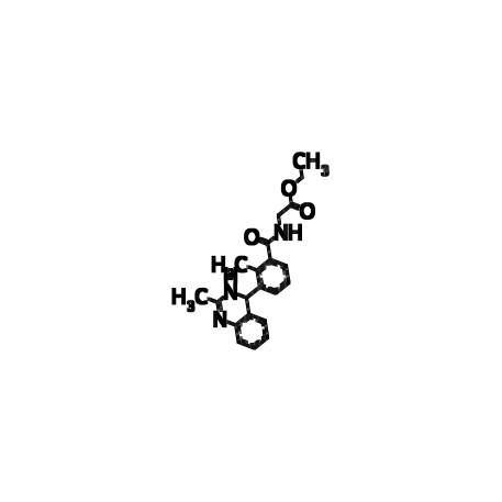 CCOC(=O)CNC(=O)c1cccc(C2NC(C)=Nc3ccccc32)c1C